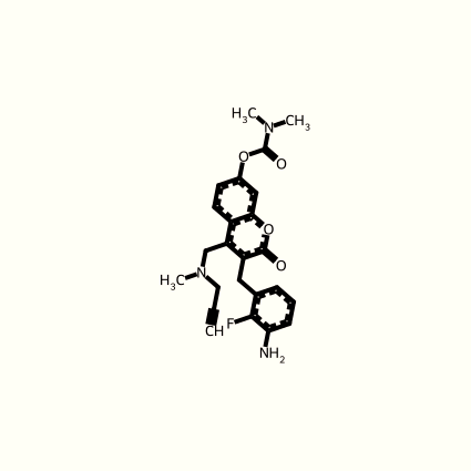 C#CCN(C)Cc1c(Cc2cccc(N)c2F)c(=O)oc2cc(OC(=O)N(C)C)ccc12